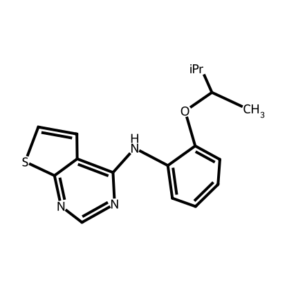 CC(C)C(C)Oc1ccccc1Nc1ncnc2sccc12